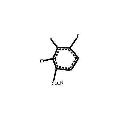 Cc1c(F)ccc(C(=O)O)c1F